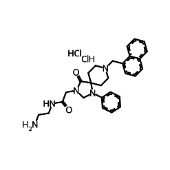 Cl.Cl.NCCNC(=O)CN1CN(c2ccccc2)C2(CCN(Cc3cccc4ccccc34)CC2)C1=O